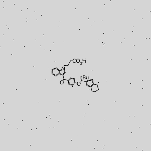 CCCCC(Oc1ccc(C(=O)c2cn(CCCC(=O)O)c3ccccc23)cc1)c1ccc2c(c1)CCCC2